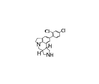 Clc1ccc(-c2cc3c4c(c2)[C@@H]2CNC[C@@H]2CN4CC3)c(Cl)c1